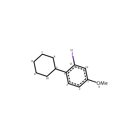 COc1ccc(C2CCCCC2)c(I)c1